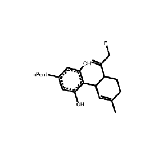 C=C(CF)C1CCC(C)=CC1c1c(O)cc(CCCCC)cc1O